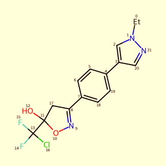 CCn1cc(-c2ccc(C3=NOC(O)(C(F)(F)Cl)C3)cc2)cn1